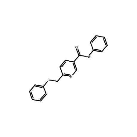 O=C(Nc1ccccc1)c1ccc(COc2ccccc2)nc1